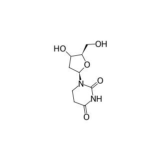 O=C1CCN([C@H]2CC(O)[C@@H](CO)O2)C(=O)N1